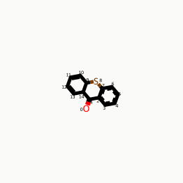 O=C1c2ccccc2SC2C=CC=CC12